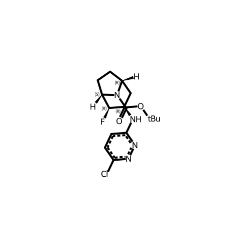 CC(C)(C)OC(=O)N1[C@@H]2CC[C@H]1[C@H](F)[C@H](Nc1ccc(Cl)nn1)C2